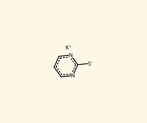 [K+].[S-]c1ncccn1